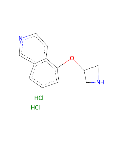 Cl.Cl.c1cc(OC2CNC2)c2ccncc2c1